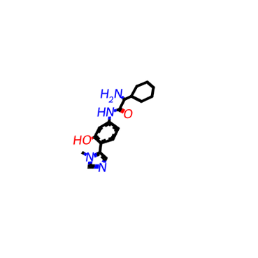 Cn1cncc1-c1ccc(NC(=O)C(N)C2CCCCC2)cc1O